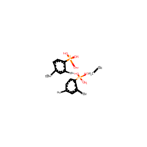 CC(C)(C)C.CC(C)(C)c1ccc([PH](O)(O)O)c(C(C)(C)C)c1.CC(C)(C)c1ccc([PH](O)(O)O)c(C(C)(C)C)c1